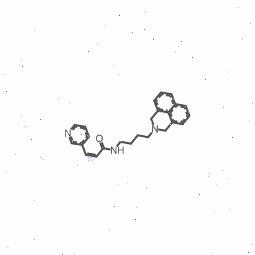 O=C(/C=C\c1cccnc1)NCCCCN1Cc2cccc3cccc(c23)C1